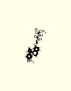 CC(C)NC(=O)NCCOc1ccc2c(c1)C(C1(c3ccc(N)cc3)CCC1)NCC2